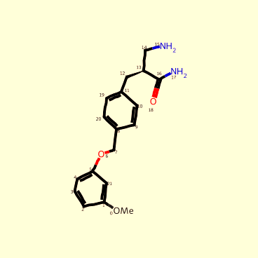 COc1cccc(OCc2ccc(C[C@@H](CN)C(N)=O)cc2)c1